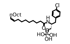 CCCCCCCC/C=C\CCCCCCCC(=O)N[C@@H](CO[PH](O)(O)O)Cc1ccc(Cl)cc1